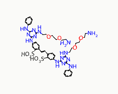 NCCOCCOCCNc1nc(Nc2ccccc2)nc(Nc2ccc(/C=C/c3ccc(Nc4nc(NCCOCCOCCN)nc(Nc5ccccc5)n4)cc3S(=O)(=O)O)c(S(=O)(=O)O)c2)n1